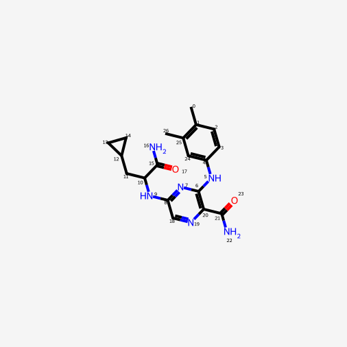 Cc1ccc(Nc2nc(NC(CC3CC3)C(N)=O)cnc2C(N)=O)cc1C